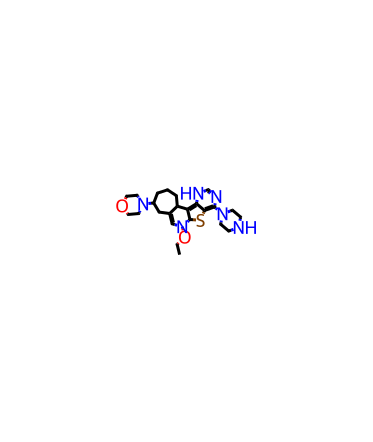 CCON1C=C2CC(N3CCOCC3)CCCC2C2=C3NC=NC(N4CCNCC4)=C3SC21